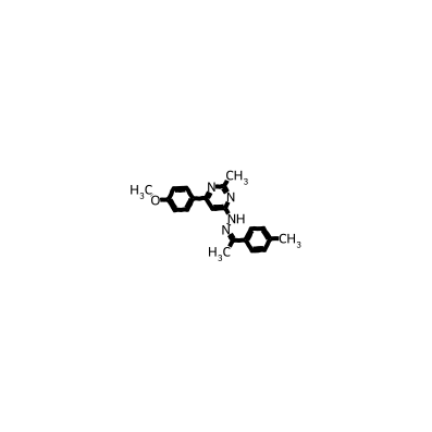 COc1ccc(-c2cc(N/N=C(/C)c3ccc(C)cc3)nc(C)n2)cc1